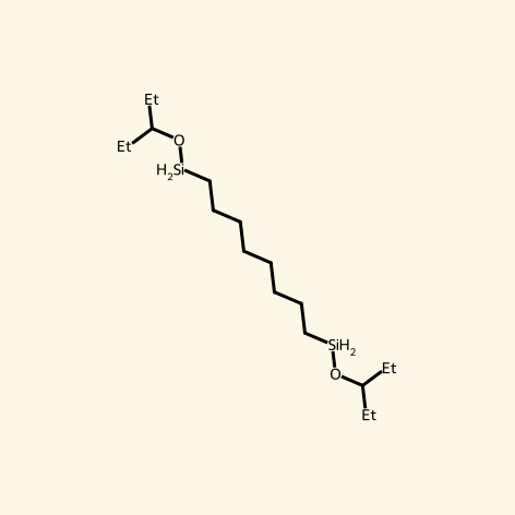 CCC(CC)O[SiH2]CCCCCCCC[SiH2]OC(CC)CC